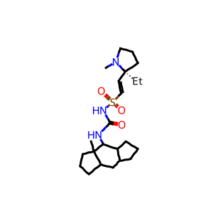 CC[C@@]1(/C=C/S(=O)(=O)NC(=O)NC2C3CCCC3CC3CCCC32C)CCCN1C